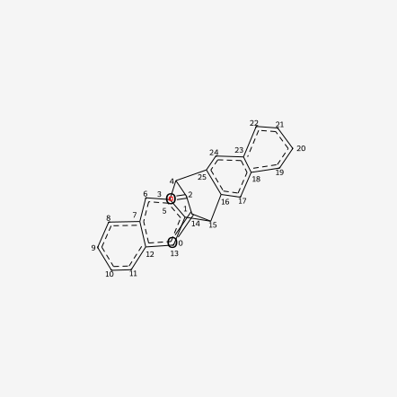 O=C1C(=O)C2c3cc4ccccc4cc3C1c1cc3ccccc3cc12